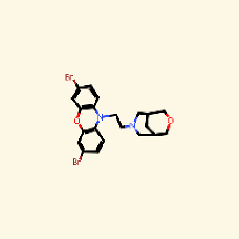 Brc1ccc2c(c1)Oc1cc(Br)ccc1N2CCN1CC2COCC(C2)C1